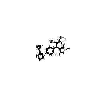 CCCc1nn(C)c2c1C(c1ccc(-n3ccnc3C3CC3)cc1)C(C#N)=C(N)O2